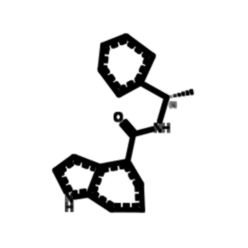 C[C@H](NC(=O)c1cccc2[nH]ccc12)c1ccccc1